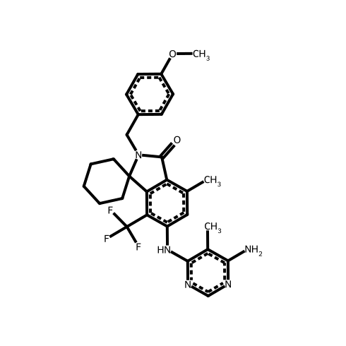 COc1ccc(CN2C(=O)c3c(C)cc(Nc4ncnc(N)c4C)c(C(F)(F)F)c3C23CCCCC3)cc1